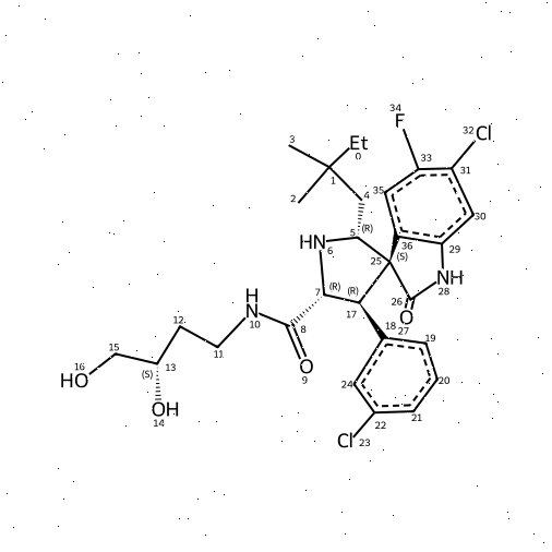 CCC(C)(C)C[C@H]1N[C@@H](C(=O)NCC[C@H](O)CO)[C@H](c2cccc(Cl)c2)[C@@]12C(=O)Nc1cc(Cl)c(F)cc12